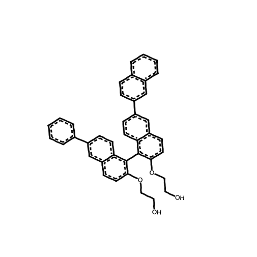 OCCOc1ccc2cc(-c3ccccc3)ccc2c1-c1c(OCCO)ccc2cc(-c3ccc4ccccc4c3)ccc12